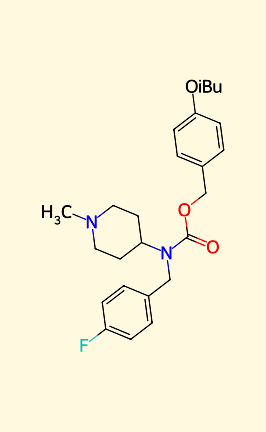 CC(C)COc1ccc(COC(=O)N(Cc2ccc(F)cc2)C2CCN(C)CC2)cc1